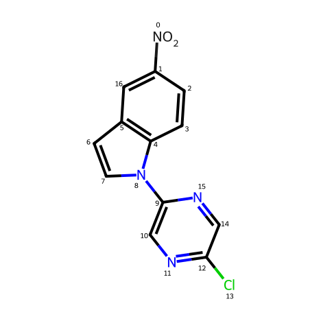 O=[N+]([O-])c1ccc2c(ccn2-c2cnc(Cl)cn2)c1